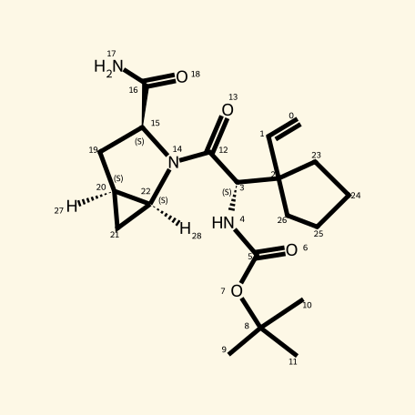 C=CC1([C@H](NC(=O)OC(C)(C)C)C(=O)N2[C@H](C(N)=O)C[C@@H]3C[C@@H]32)CCCC1